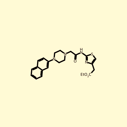 CCOC(=O)Cc1csc(NC(=O)CN2CCN(c3ccc4ccccc4c3)CC2)n1